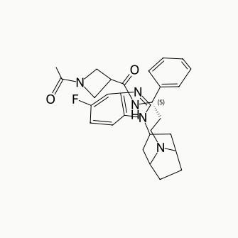 CC(=O)N1CC(C(=O)N[C@@H](CCN2C3CCC2CC(n2cnc4cc(F)ccc42)C3)c2ccccc2)C1